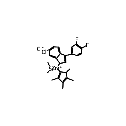 CC1=C(C)C(C)[C]([Zr+2]([CH]2C=C(c3ccc(F)c(F)c3)c3ccccc32)=[Si](C)C)=C1C.[Cl-].[Cl-]